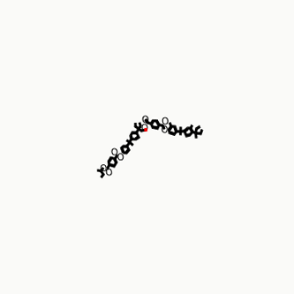 CCC(C)OC(=O)c1ccc(C(=O)Oc2ccc(C(C)(C)c3ccc(C(CC)(CC)C(C)OC(=O)c4ccc(C(=O)Oc5ccc(C(C)(C)c6ccc(C(C)(CC)CC)c(C)c6)cc5C)cc4)cc3)cc2)cc1